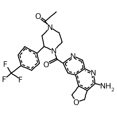 CC(=O)N1CCN(C(=O)c2cc3c4c(c(N)nc3cn2)COC4)C(c2ccc(C(F)(F)F)cc2)C1